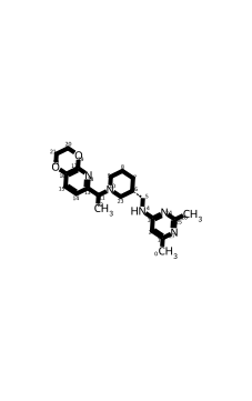 Cc1cc(NC[C@H]2CCCN(C(C)c3ccc4c(n3)OCCO4)C2)nc(C)n1